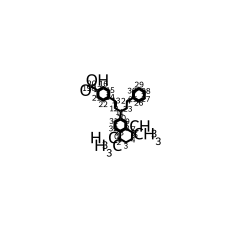 CC1(C)CCC(C)(C)c2cc(C(C=Cc3ccc(C(=O)O)cc3)CCc3ccccc3)ccc21